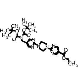 CCOC(=O)c1cnc(N2CCN(c3ncc(CN(C(=O)OC(C)(C)C)C(=O)OC(C)(C)C)cn3)CC2)nc1